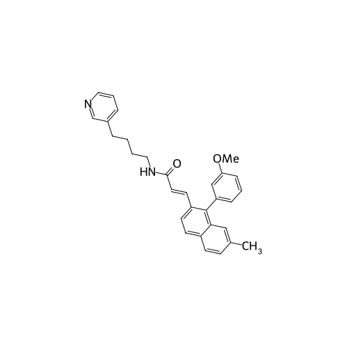 COc1cccc(-c2c(C=CC(=O)NCCCCc3cccnc3)ccc3ccc(C)cc23)c1